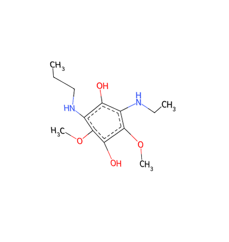 CCCNc1c(O)c(NCC)c(OC)c(O)c1OC